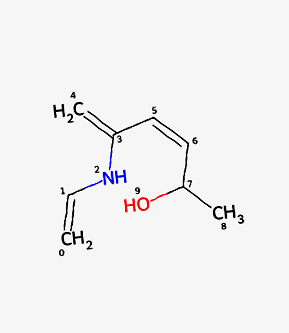 C=CNC(=C)/C=C\C(C)O